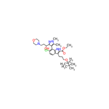 CCOC(=O)c1[nH]c2c(-c3c(C(O)CCN4CCOCC4)nn(C)c3C)c(Cl)ccc2c1CCCO[Si](C)(C)C(C)(C)C